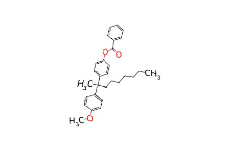 CCCCCCCC(C)(c1ccc(OC)cc1)c1ccc(OC(=O)c2ccccc2)cc1